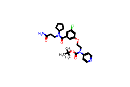 CC(C)(C)OC(=O)N(CCOc1cc(Cl)cc(C(=O)N(CCC(N)=O)C2CCCC2)c1)c1ccncc1